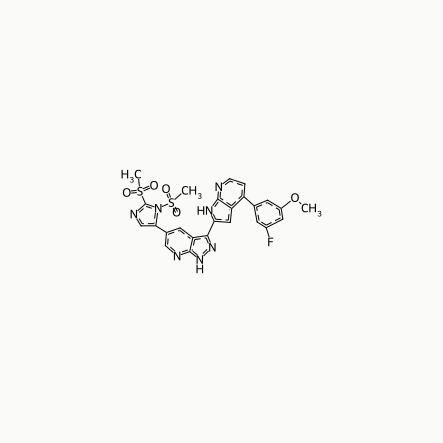 COc1cc(F)cc(-c2ccnc3[nH]c(-c4n[nH]c5ncc(-c6cnc(S(C)(=O)=O)n6S(C)(=O)=O)cc45)cc23)c1